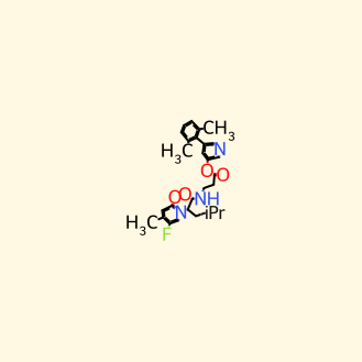 Cc1cc(=O)n(C(CC(C)C)C(=O)NCCC(=O)Oc2cncc(-c3c(C)cccc3C)c2)cc1F